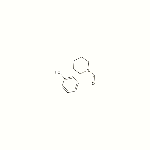 O=CN1CCCCC1.Oc1ccccc1